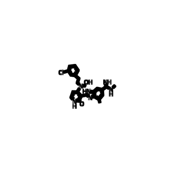 CNC(=N)c1cc(C)c2nc(-c3c(N(CO)CCc4cccc(Cl)c4)cc[nH]c3=O)[nH]c2c1